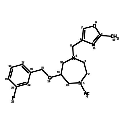 CC(=O)N1CCN(Cc2coc(C)n2)CC(OCc2cccc(F)c2)C1